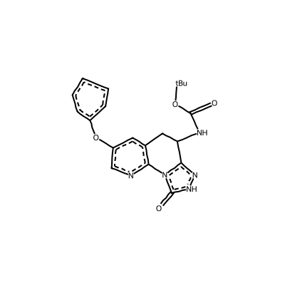 CC(C)(C)OC(=O)NC1Cc2cc(Oc3ccccc3)cnc2-n2c1n[nH]c2=O